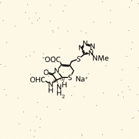 CNn1nnnc1SCC1=C(C(=O)[O-])N2C(=O)[C@](N)(NC=O)[C@@H]2SC1.[Na+]